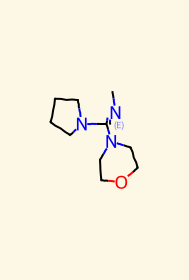 C/N=C(\N1CCCC1)N1CCOCC1